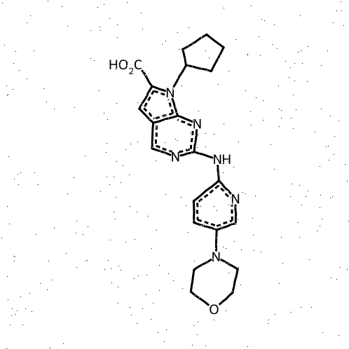 O=C(O)c1cc2cnc(Nc3ccc(N4CCOCC4)cn3)nc2n1C1CCCC1